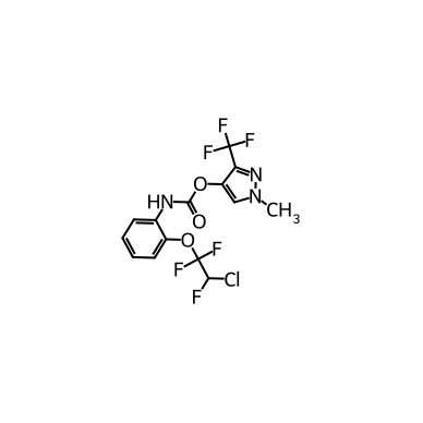 Cn1cc(OC(=O)Nc2ccccc2OC(F)(F)C(F)Cl)c(C(F)(F)F)n1